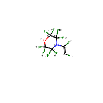 FC=C(F)N1C(F)(F)C(F)(F)OC(F)(F)C1(F)F